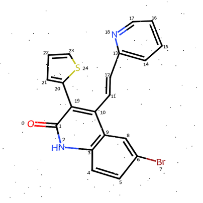 O=c1[nH]c2ccc(Br)cc2c(C=Cc2ccccn2)c1-c1cccs1